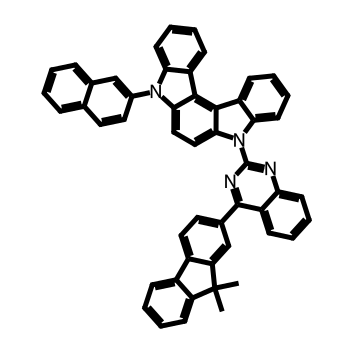 CC1(C)c2ccccc2-c2ccc(-c3nc(-n4c5ccccc5c5c6c7ccccc7n(-c7ccc8ccccc8c7)c6ccc54)nc4ccccc34)cc21